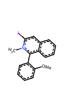 COc1ccccc1-c1c2ccccc2cc(I)[n+]1C